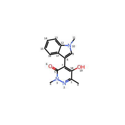 Cc1nn(C)c(=O)c(-c2cn(C)c3ccccc23)c1O